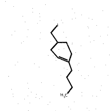 CCCCC1=CCC(CI)CC1